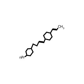 CC=CC1CCC(C=CCCC2CCC(CCC)CC2)CC1